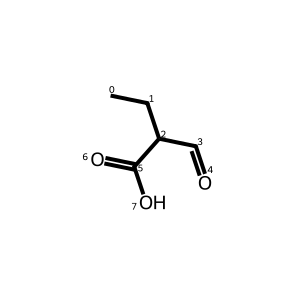 CCC(C=O)C(=O)O